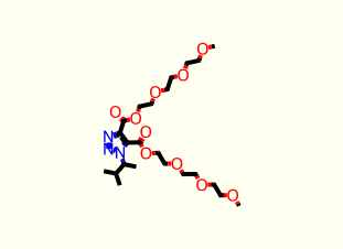 COCCOCCOCCOC(=O)c1nnn(C(C)C(C)C)c1C(=O)OCCOCCOCCOC